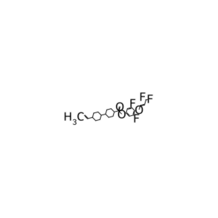 C/C=C/C1CCC(C2CCC(C(=O)Oc3cc(F)c(O/C=C/C(F)F)c(F)c3)CC2)CC1